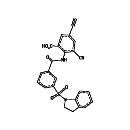 C#Cc1cc(C#N)c(NC(=O)c2cccc(S(=O)(=O)N3CCc4ccccc43)c2)c(C(=O)O)c1